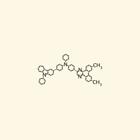 Cc1ccc2c(c1)c1cc(C)ccc1c1nc(-c3ccc(N(c4ccccc4)c4ccc(-c5ccc6c(c5)c5ccccc5n6-c5ccccc5)cc4)cc3)cnc21